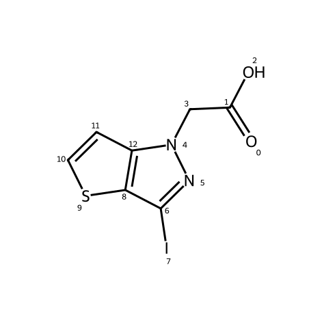 O=C(O)Cn1nc(I)c2sccc21